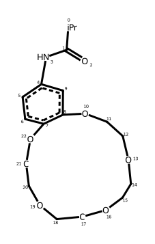 CC(C)C(=O)Nc1ccc2c(c1)OCCOCCOCCOCCO2